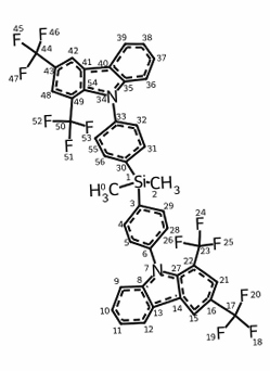 C[Si](C)(c1ccc(-n2c3ccccc3c3cc(C(F)(F)F)cc(C(F)(F)F)c32)cc1)c1ccc(-n2c3ccccc3c3cc(C(F)(F)F)cc(C(F)(F)F)c32)cc1